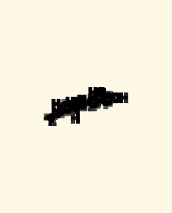 Oc1ccc(-c2ccc(-c3cc(Nc4cccc(CNC5CC5)c4)[nH]n3)cc2)c(O)c1